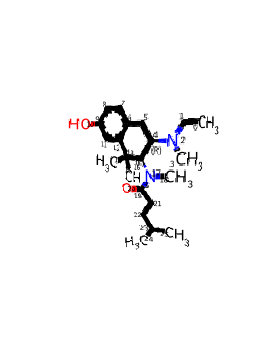 CCN(C)[C@@H]1Cc2ccc(O)cc2C(C)(C)[C@H]1N(C)C(=O)CCC(C)C